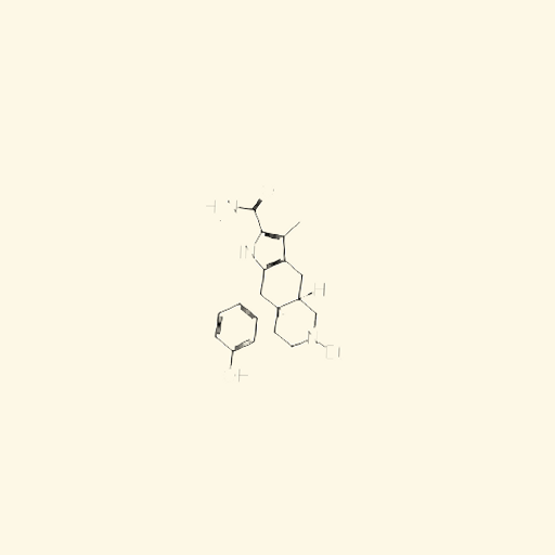 CCN1CC[C@@]2(c3cccc(O)c3)Cc3[nH]c(C(N)=O)c(C)c3C[C@@H]2C1